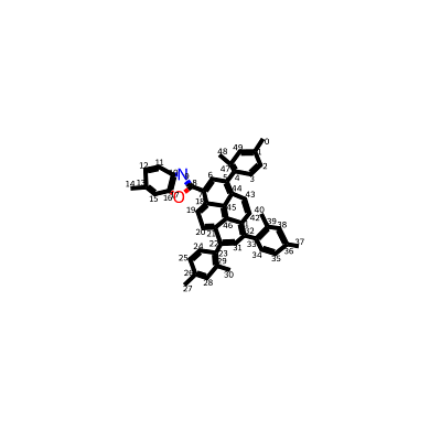 Cc1ccc(-c2cc(-c3nc4ccc(C)cc4o3)c3ccc4c(-c5ccc(C)cc5C)cc(-c5ccc(C)cc5C)c5ccc2c3c45)c(C)c1